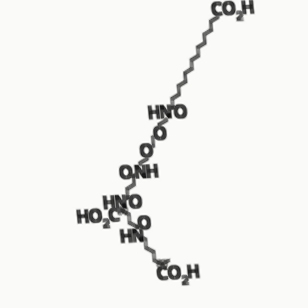 C[C@@H](CCCCNC(=O)CC[C@H](NC(=O)CCC(=O)NCCOCCOCCNC(=O)CCCCCCCCCCCCCCC(=O)O)C(=O)O)C(=O)O